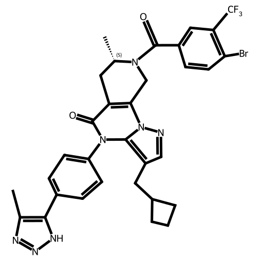 Cc1nn[nH]c1-c1ccc(-n2c(=O)c3c(n4ncc(CC5CCC5)c24)CN(C(=O)c2ccc(Br)c(C(F)(F)F)c2)[C@@H](C)C3)cc1